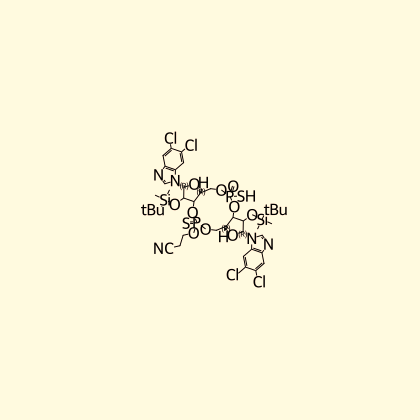 CC(C)(C)[Si](C)(C)OC1C2OP(=O)(S)OC[C@H]3O[C@@H](n4cnc5cc(Cl)c(Cl)cc54)C(O[Si](C)(C)C(C)(C)C)C3OP(=S)(OCCC#N)OC[C@H]2O[C@H]1n1cnc2cc(Cl)c(Cl)cc21